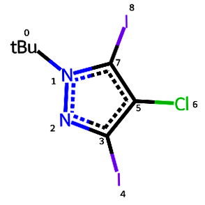 CC(C)(C)n1nc(I)c(Cl)c1I